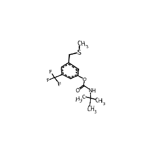 CSCc1cc(OC(=O)NC(C)(C)C)cc(C(F)(F)F)c1